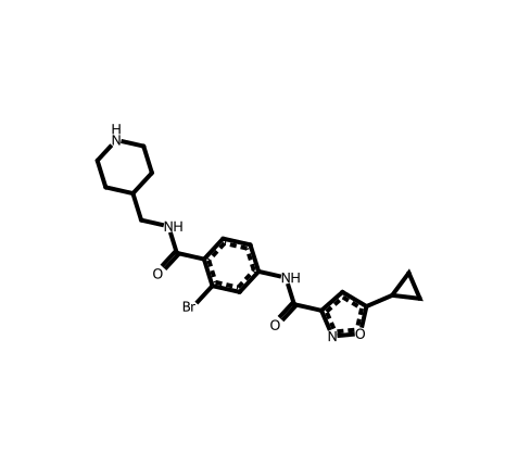 O=C(Nc1ccc(C(=O)NCC2CCNCC2)c(Br)c1)c1cc(C2CC2)on1